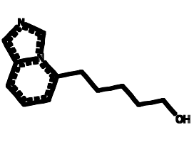 OCCCCCc1cccc2cncn12